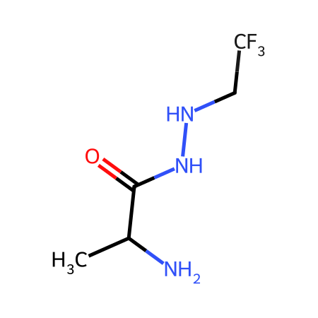 CC(N)C(=O)NNCC(F)(F)F